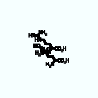 CCO.N=C(N)NCCCC(N)C(=O)O.NC(=O)CCC(N)C(=O)O